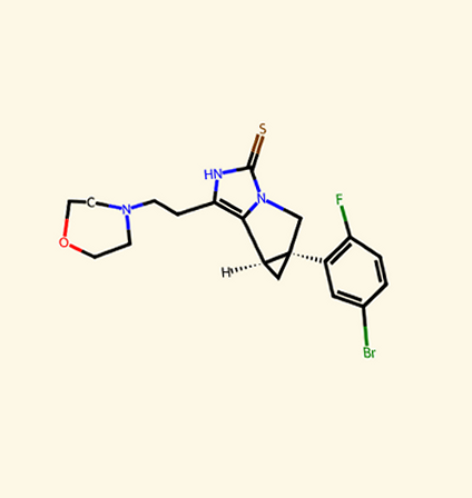 Fc1ccc(Br)cc1[C@]12C[C@H]1c1c(CCN3CCOCC3)[nH]c(=S)n1C2